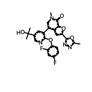 Cc1nnc(-c2cc3c(-c4cc(C(C)(C)O)cnc4Oc4ccc(F)cc4F)cn(C)c(=O)c3o2)o1